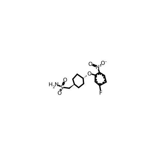 NS(=O)(=O)C[C@H]1CC[C@H](Oc2cc(F)ccc2[N+](=O)[O-])CC1